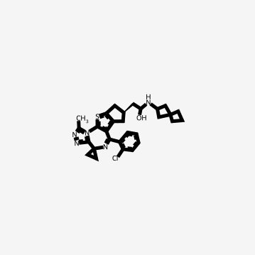 Cc1nnc2n1-c1sc3c(c1C(c1ccccc1Cl)=NC21CC1)C[C@H](CC(O)NC1CC2(CCC2)C1)C3